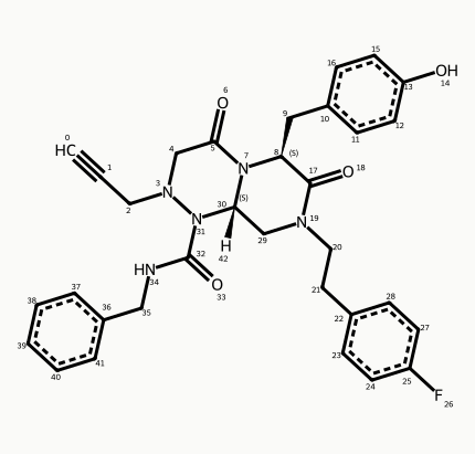 C#CCN1CC(=O)N2[C@@H](Cc3ccc(O)cc3)C(=O)N(CCc3ccc(F)cc3)C[C@@H]2N1C(=O)NCc1ccccc1